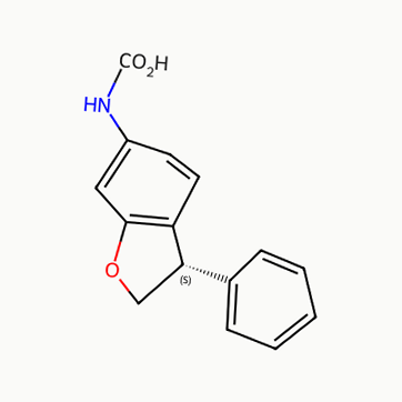 O=C(O)Nc1ccc2c(c1)OC[C@H]2c1ccccc1